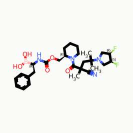 CC(C#N)(CC(C)(C)N1C[C@@H](F)[C@@H](F)C1)C(=O)N1CCCC[C@@H]1COC(=O)N[C@@H](Cc1ccccc1)B(O)O